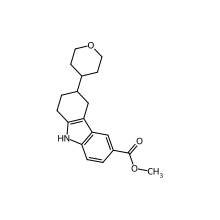 COC(=O)c1ccc2[nH]c3c(c2c1)CC(C1CCOCC1)CC3